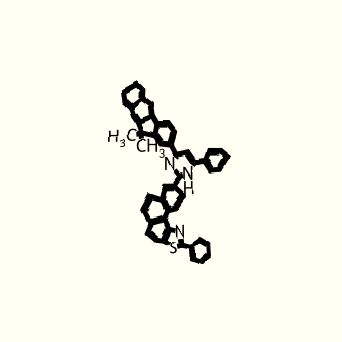 CC1(C)c2cc(C3=NC(c4ccc5c(ccc6ccc7sc(-c8ccccc8)nc7c65)c4)NC(c4ccccc4)=C3)ccc2-c2cc3ccccc3cc21